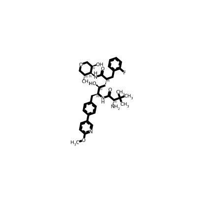 COc1ccc(-c2ccc(C[C@H](NC(=O)[C@@H](N)C(C)(C)C)[C@@H](O)C[C@@H](Cc3ccccc3F)C(=O)N[C@H]3[C@H](C)COC[C@H]3O)cc2)cn1